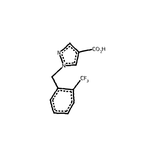 O=C(O)c1cnn(Cc2ccccc2C(F)(F)F)c1